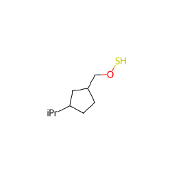 CC(C)C1CCC(COS)C1